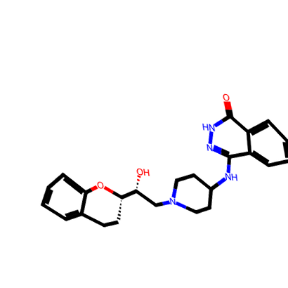 O=c1[nH]nc(NC2CCN(C[C@@H](O)[C@@H]3CCc4ccccc4O3)CC2)c2ccccc12